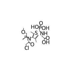 COC[C@H](C)N(C(=O)CCl)c1c(C)csc1C.O=C(O)CNCP(=O)(O)O